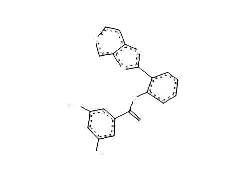 COc1cc(OC)cc(C(=O)Nc2ccccc2-c2nc3ccncc3o2)c1